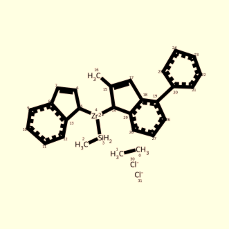 CC.C[SiH2][Zr+2]([CH]1C=Cc2ccccc21)[CH]1C(C)=Cc2c(-c3ccccc3)cccc21.[Cl-].[Cl-]